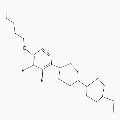 CCCCCOc1ccc(C2CCC(C3CCC(CC)CC3)CC2)c(F)c1F